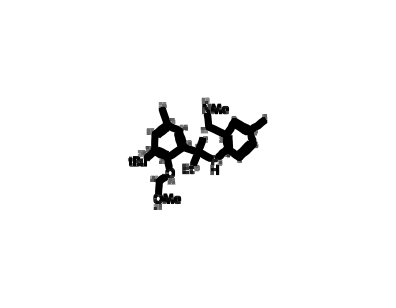 CCC(C)(Pc1ccc(C)cc1CNC)c1cc(C)cc(C(C)(C)C)c1OCOC